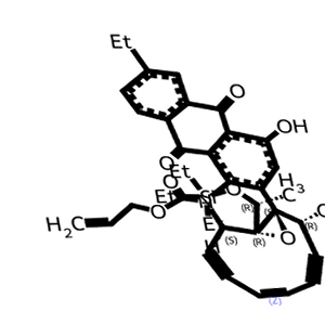 C=CCOC(=O)N1c2c(cc(O)c3c2C(=O)c2ccc(CC)cc2C3=O)[C@@]23O[C@@]2([C@@H](C)O[Si](CC)(CC)CC)[C@@H]1C#C/C=C\C#C[C@H]3O